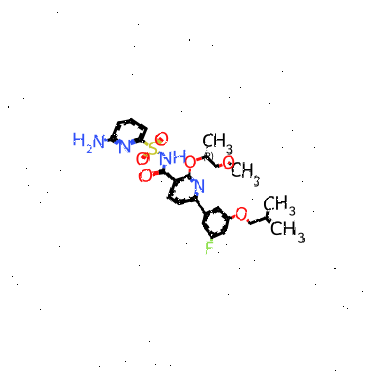 COC[C@@H](C)Oc1nc(-c2cc(F)cc(OCC(C)C)c2)ccc1C(=O)NS(=O)(=O)c1cccc(N)n1